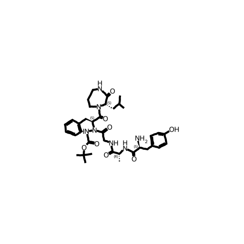 CC(C)C[C@H]1C(=O)NCCCN1C(=O)[C@H](Cc1ccccc1)N(NC(=O)OC(C)(C)C)C(=O)CNC(=O)[C@@H](C)NC(=O)[C@@H](N)Cc1ccc(O)cc1